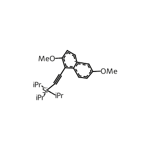 COc1ccc2c(C#C[Si](C(C)C)(C(C)C)C(C)C)c(OC)ccc2c1